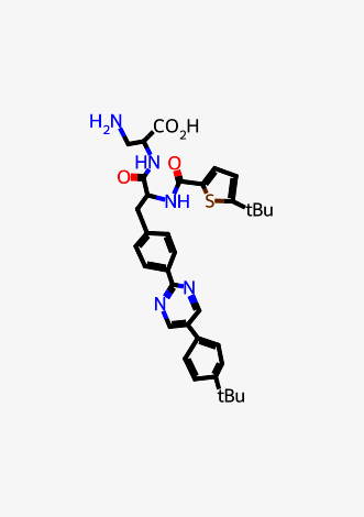 CC(C)(C)c1ccc(-c2cnc(-c3ccc(CC(NC(=O)c4ccc(C(C)(C)C)s4)C(=O)NC(CN)C(=O)O)cc3)nc2)cc1